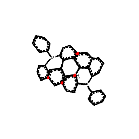 c1ccc([SiH](c2ccccc2)c2ccccc2-c2ccccc2[SiH2]c2cccc3cccc(P(c4ccccc4)c4ccccc4)c23)cc1